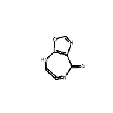 O=C1N=C=CNc2ocnc21